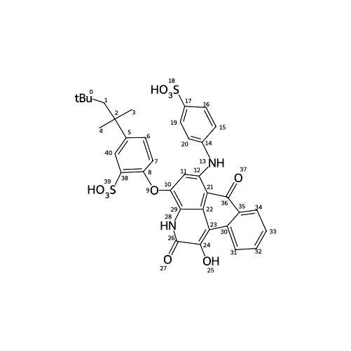 CC(C)(C)CC(C)(C)c1ccc(Oc2cc(Nc3ccc(S(=O)(=O)O)cc3)c3c4c(c(O)c(=O)[nH]c24)-c2ccccc2C3=O)c(S(=O)(=O)O)c1